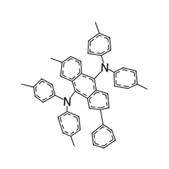 Cc1ccc(N(c2ccc(C)cc2)c2c3ccc(C)cc3c(N(c3ccc(C)cc3)c3ccc(C)cc3)c3cc(-c4ccccc4)ccc23)cc1